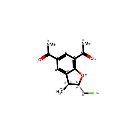 CNC(=O)c1cc(C(=O)NC)c2c(c1)[C@H](C)[C@@H](CF)O2